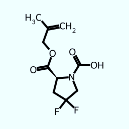 C=C(C)COC(=O)[C@@H]1CC(F)(F)CN1C(=O)O